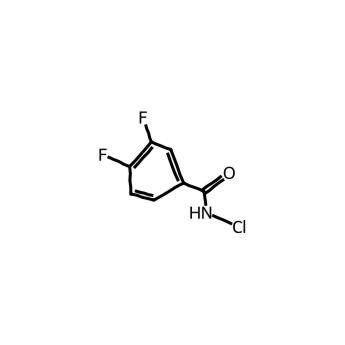 O=C(NCl)c1ccc(F)c(F)c1